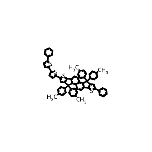 Cc1ccc(C2(c3ccc(C)cc3)c3cc(-c4ccccc4)sc3-c3ccc4c5c(ccc4c32)-c2sc(-c3ccc(-c4ccc(-c6ccccc6)s4)s3)cc2C5(c2ccc(C)cc2)c2ccc(C)cc2)cc1